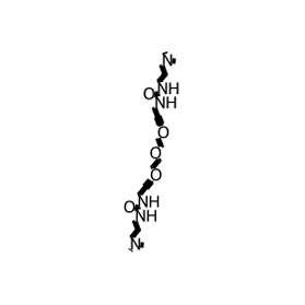 CN(C)CCCNC(=O)NCC#COCCOCCOC#CCNC(=O)NCCCN(C)C